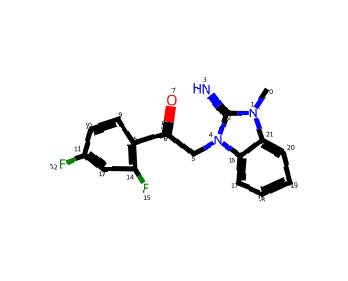 Cn1c(=N)n(CC(=O)c2ccc(F)cc2F)c2ccccc21